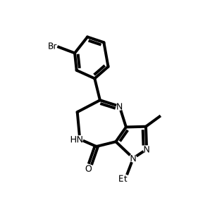 CCn1nc(C)c2c1C(=O)NCC(c1cccc(Br)c1)=N2